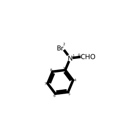 O=CN(Br)c1ccccc1